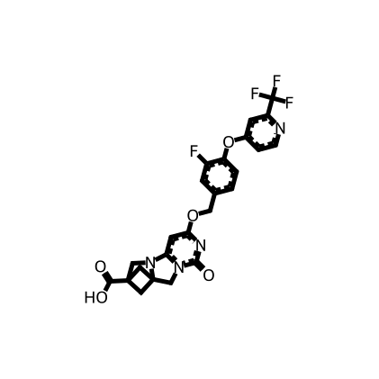 O=C(O)C12CN3c4cc(OCc5ccc(Oc6ccnc(C(F)(F)F)c6)c(F)c5)nc(=O)n4CC3(C1)C2